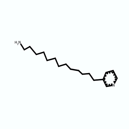 NCCCCCCCCCCCCCc1cccnc1